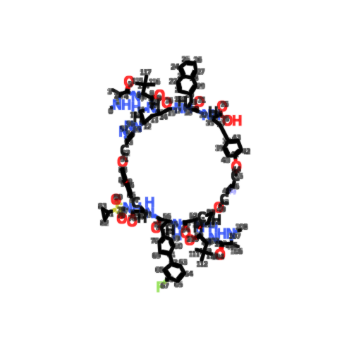 CN[C@@H](C)C(=O)N[C@H](C(=O)N1C[C@@H]2C[C@H]1C(=O)N[C@@H](Cc1ccc3ccccc3c1)C(=O)N[C@H](C(=O)O)Cc1ccc(cc1)OC/C=C/CO[C@H]1C[C@@H](C(=O)N[C@@H](Cc3ccc(-c4cccc(F)c4)cc3)C(=O)N[C@H](C(=O)NS(=O)(=O)C3CC3)Cc3ccc(cc3)OCc3cn2nn3)N(C(=O)[C@@H](NC(=O)[C@H](C)NC)C(C)(C)C)C1)C(C)(C)C